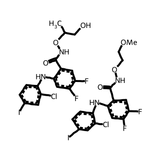 CC(CO)ONC(=O)c1cc(F)c(F)cc1Nc1ccc(I)cc1Cl.COCCONC(=O)c1cc(F)c(F)cc1Nc1ccc(I)cc1Cl